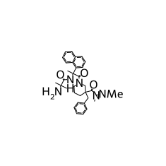 CNN(C)C(=O)C1(Cc2ccccc2)CCCN(C(=O)C(C)(NC(=O)C(C)(C)N)c2cccc3ccccc23)C1